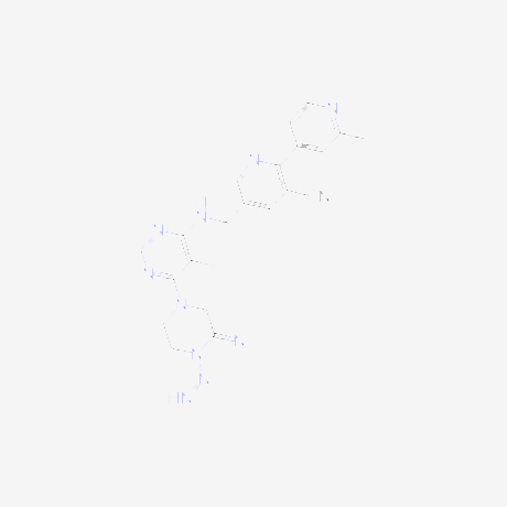 Cc1cc(-c2ncc(CNc3ncnc(N4CCN(N=N)C(=N)C4)c3F)cc2C#N)ccn1